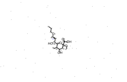 CCCO/N=C/[C@@H](O)C1OC(OC)(C(=O)O)CC(O)C1C